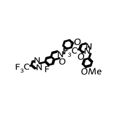 COc1ccc(Cn2ncc(O[C@H]3CCC[C@@H](Cn4ccc5cc(-c6ncc(C(F)(F)F)cn6)c(F)cc5c4=O)C3)c(C(F)(F)F)c2=O)cc1